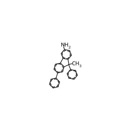 CC1(c2ccccc2)c2ccc(N)cc2-c2ccc(-c3ccccc3)cc21